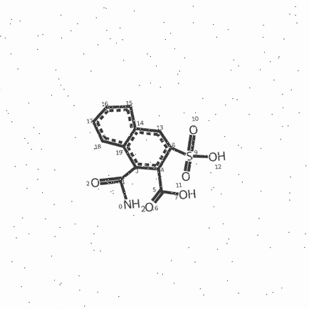 NC(=O)c1c(C(=O)O)c(S(=O)(=O)O)cc2ccccc12